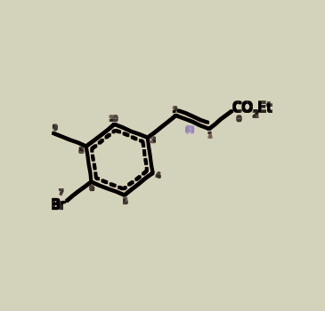 CCOC(=O)/C=C/c1ccc(Br)c(C)c1